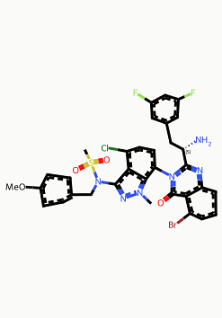 COc1ccc(CN(c2nn(C)c3c(-n4c([C@@H](N)Cc5cc(F)cc(F)c5)nc5cccc(Br)c5c4=O)ccc(Cl)c23)S(C)(=O)=O)cc1